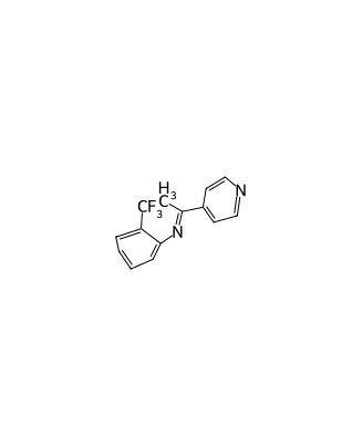 CC(=Nc1ccccc1C(F)(F)F)c1ccncc1